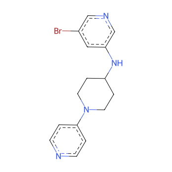 Brc1cncc(NC2CCN(c3ccncc3)CC2)c1